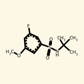 COc1cc(F)cc(S(=O)(=O)NC(C)(C)C)c1